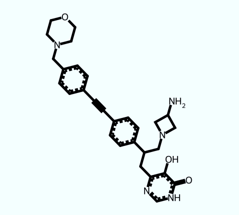 NC1CN(CC(Cc2nc[nH]c(=O)c2O)c2ccc(C#Cc3ccc(CN4CCOCC4)cc3)cc2)C1